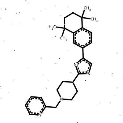 CC1(C)CCC(C)(C)c2cc(-c3csc(C4CCN(Cc5ccccn5)CC4)n3)ccc21